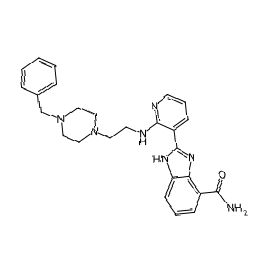 NC(=O)c1cccc2[nH]c(-c3cccnc3NCCN3CCN(Cc4ccccc4)CC3)nc12